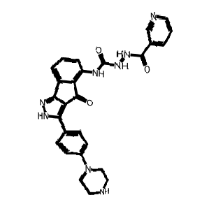 O=C(NNC(=O)c1cccnc1)Nc1cccc2c1C(=O)c1c-2n[nH]c1-c1ccc(N2CCNCC2)cc1